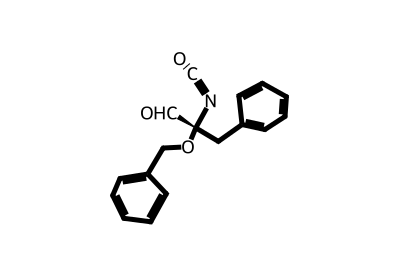 O=C=N[C@](C=O)(Cc1ccccc1)OCc1ccccc1